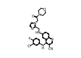 N#Cc1cnc2ccc(NCc3nccn3CC(=O)N3CCOCC3)cc2c1Nc1ccc(F)c(Cl)c1